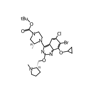 C[C@@H]1CN(C(=O)OC(C)(C)C)CCN1c1nc(OC[C@@H]2CCCN2C)nc2c(OC3CC3)c(Br)c(Cl)cc12